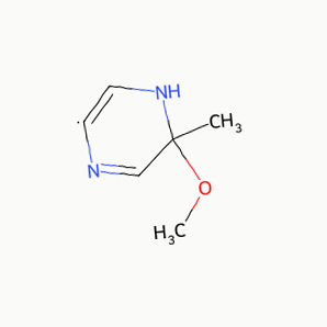 COC1(C)C=N[C]=CN1